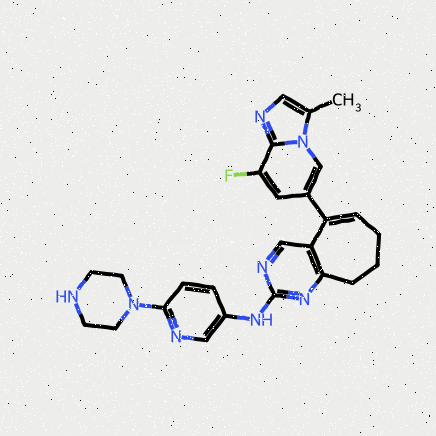 Cc1cnc2c(F)cc(C3=CCCCc4nc(Nc5ccc(N6CCNCC6)nc5)ncc43)cn12